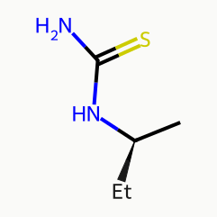 CC[C@H](C)NC(N)=S